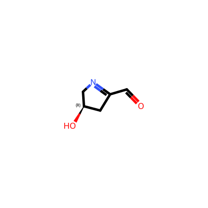 O=CC1=NC[C@H](O)C1